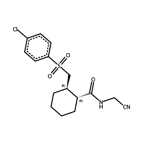 N#CCNC(=O)[C@@H]1CCCC[C@H]1CS(=O)(=O)c1ccc(Cl)cc1